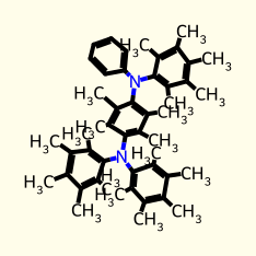 Cc1c(C)c(C)c(N(c2ccccc2)c2c(C)c(C)c(N(c3c(C)c(C)c(C)c(C)c3C)c3c(C)c(C)c(C)c(C)c3C)c(C)c2C)c(C)c1C